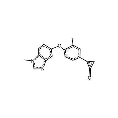 Cc1cc(-c2cc2=O)ccc1Oc1ccc2c(c1)ncn2C